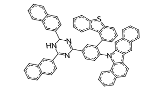 c1ccc2cc(C3=NC(c4ccc(-n5c6cc7ccccc7cc6c6ccc7ccccc7c65)c(-c5cccc6sc7ccccc7c56)c4)=NC(c4ccc5ccccc5c4)N3)ccc2c1